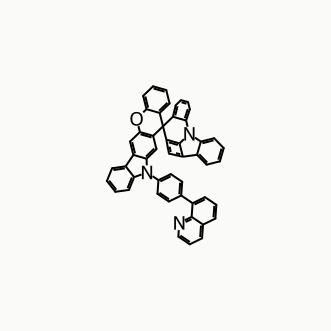 c1ccc2c(c1)Oc1cc3c4ccccc4n(-c4ccc(-c5cccc6cccnc56)cc4)c3cc1C21c2ccccc2-n2c3ccccc3c3cccc1c32